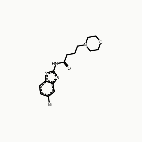 O=C(CCCN1CCOCC1)Nc1nc2ccc(Br)cc2s1